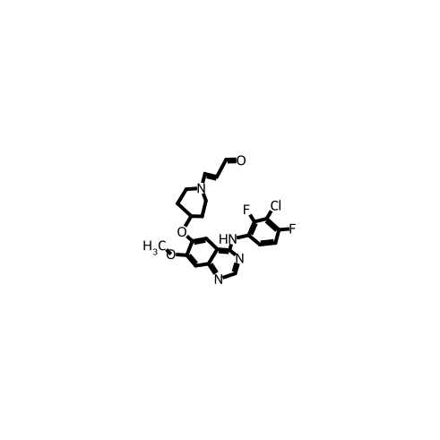 COc1cc2ncnc(Nc3ccc(F)c(Cl)c3F)c2cc1OC1CCN(C=CC=O)CC1